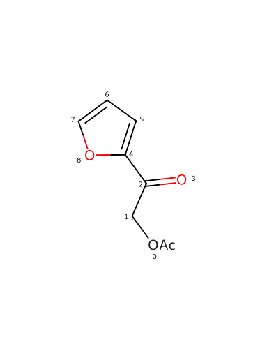 CC(=O)O[CH]C(=O)c1ccco1